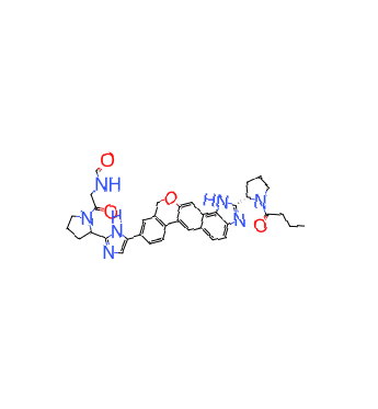 CCCC(=O)N1CCC[C@H]1c1nc2ccc3cc4c(cc3c2[nH]1)OCc1cc(-c2cnc(C3CCCN3C(=O)CNC=O)[nH]2)ccc1-4